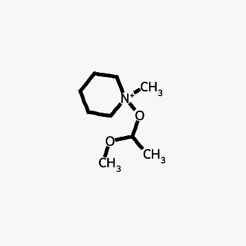 COC(C)O[N+]1(C)CCCCC1